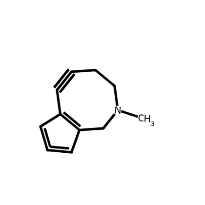 CN1CCC#CC2=C(C=C=C2)C1